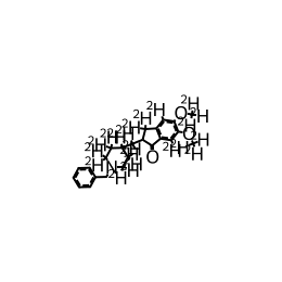 [2H]c1c(OC([2H])([2H])[2H])c(OC([2H])([2H])[2H])c([2H])c2c1C(=O)C(C([2H])([2H])C1([2H])C([2H])([2H])C([2H])([2H])N(Cc3ccccc3)C([2H])([2H])C1([2H])[2H])C2([2H])[2H]